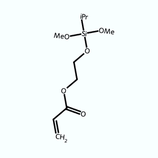 C=CC(=O)OCCO[Si](OC)(OC)C(C)C